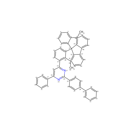 CCc1ccccc1C1(c2cccc(-c3cc(-c4ccccc4)nc(-c4ccc(-c5ccccc5)cc4)n3)c2CC)c2ccccc2-c2ccccc21